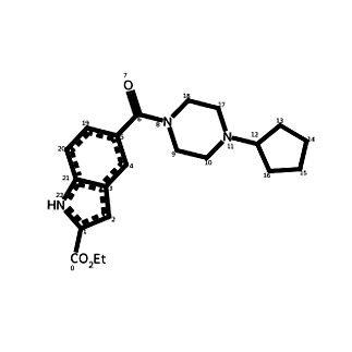 CCOC(=O)c1cc2cc(C(=O)N3CCN(C4CCCC4)CC3)ccc2[nH]1